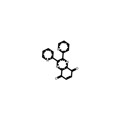 O=C1C=CC(=O)c2nc(-c3ccccn3)c(-c3ccccn3)nc21